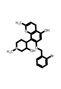 CC1=CCc2c(O)cc(OCc3ccccc3Br)c(C3CCN(C)CC3O)c2O1